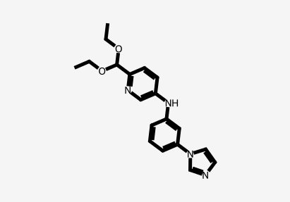 CCOC(OCC)c1ccc(Nc2cccc(-n3ccnc3)c2)cn1